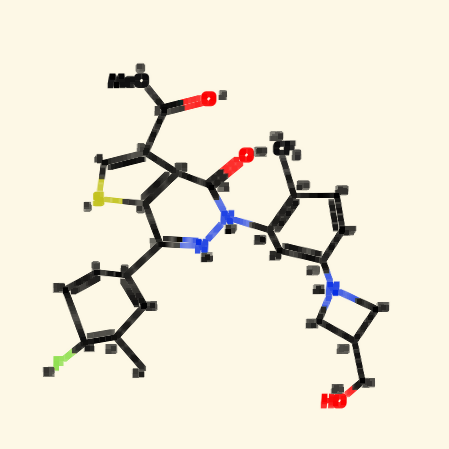 COC(=O)c1csc2c(-c3ccc(F)c(C)c3)nn(-c3cc(N4CC(CO)C4)ccc3C(F)(F)F)c(=O)c12